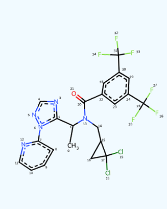 CC(c1ncnn1-c1ccccn1)N(CC1CC1(Cl)Cl)C(=O)c1cc(C(F)(F)F)cc(C(F)(F)F)c1